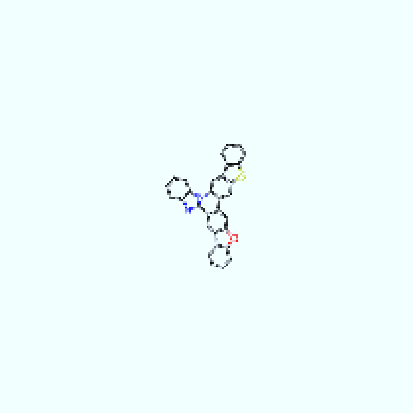 c1ccc2c(c1)nc1c3cc4c(cc3c3cc5sc6ccccc6c5cc3n21)oc1ccccc14